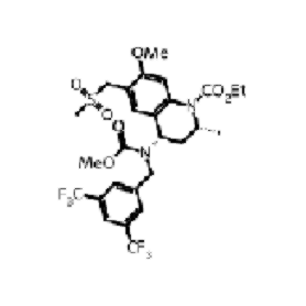 CCOC(=O)N1c2cc(OC)c(CS(C)(=O)=O)cc2[C@@H](N(Cc2cc(C(F)(F)F)cc(C(F)(F)F)c2)C(=O)OC)C[C@H]1C